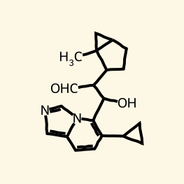 CC12CC1CCC2C(C=O)C(O)c1c(C2CC2)ccc2cncn12